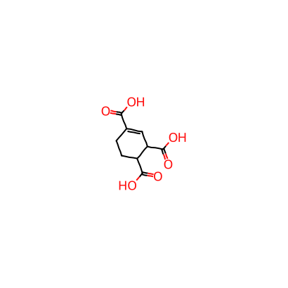 O=C(O)C1=CC(C(=O)O)C(C(=O)O)CC1